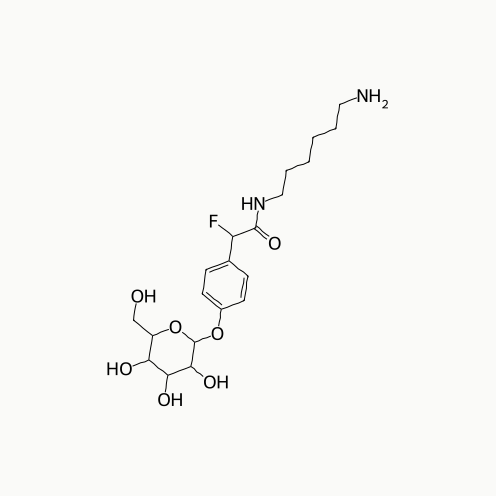 NCCCCCCNC(=O)C(F)c1ccc(OC2OC(CO)C(O)C(O)C2O)cc1